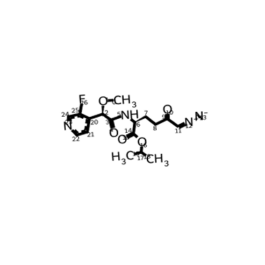 CO[C@@H](C(=O)N[C@@H](CCC(=O)C=[N+]=[N-])C(=O)OC(C)C)c1ccncc1F